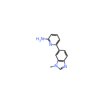 Cn1cnc2ccc(-c3cccc(N)n3)cc21